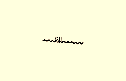 CCCCCCCCCCCCNOC(=O)CCCCCCC